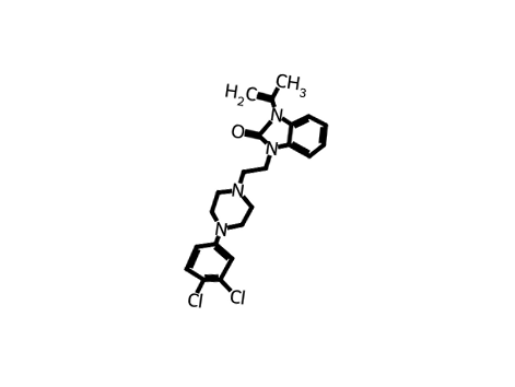 C=C(C)n1c(=O)n(CCN2CCN(c3ccc(Cl)c(Cl)c3)CC2)c2ccccc21